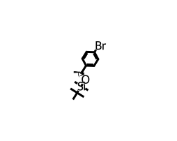 C[C@H](O[Si](C)(C)C(C)(C)C)c1ccc(Br)cc1